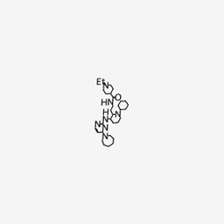 CCN1CCC(C(=O)NCCC2C(Nc3nccc(N4CCCCCC4)n3)CCCN2C2CCCCC2)CC1